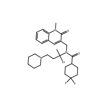 CCC(C)(CCN1CCCCC1)N(Cc1cc2ccccc2n(C)c1=O)C(=O)C1CCC(F)(F)CC1